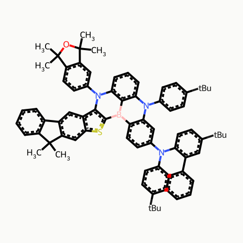 CC(C)(C)c1ccc(N(c2ccc3c(c2)N(c2ccc(C(C)(C)C)cc2)c2cccc4c2B3c2sc3cc5c(cc3c2N4c2ccc3c(c2)C(C)(C)OC3(C)C)-c2ccccc2C5(C)C)c2ccc(C(C)(C)C)cc2-c2ccccc2)cc1